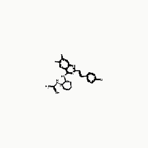 Cc1cc2nc(C=Cc3ccc(Cl)cc3)nc(N[C@H]3CCCC[C@H]3NC(=N)N)c2cc1C